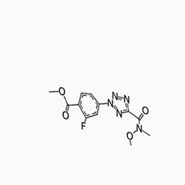 COC(=O)c1ccc(-n2nnc(C(=O)N(C)OC)n2)cc1F